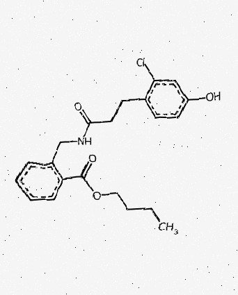 CCCCOC(=O)c1ccccc1CNC(=O)CCc1ccc(O)cc1Cl